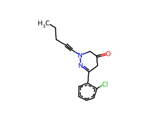 CCCC#CN1CC(=O)CC(c2ccccc2Cl)=N1